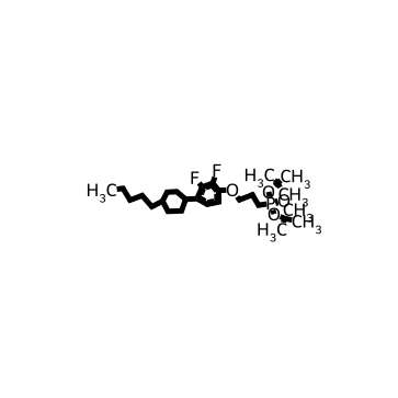 CCCCCC1CCC(c2ccc(OCCCP(=O)(OC(C)(C)C)OC(C)(C)C)c(F)c2F)CC1